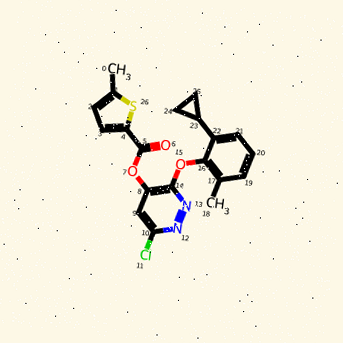 Cc1ccc(C(=O)Oc2cc(Cl)nnc2Oc2c(C)cccc2C2CC2)s1